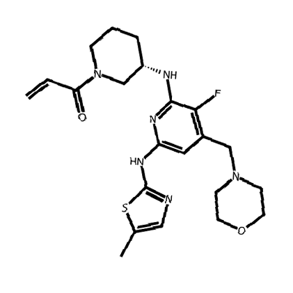 C=CC(=O)N1CCC[C@H](Nc2nc(Nc3ncc(C)s3)cc(CN3CCOCC3)c2F)C1